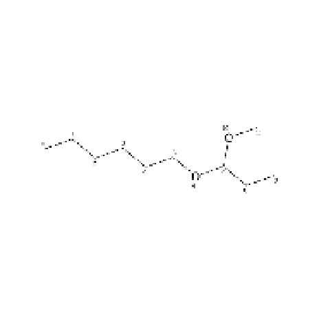 CCCCCCOC(CC)OC